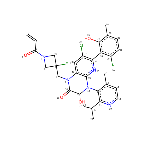 C=CC(=O)N1CC(F)(CN2C(=O)C(O)N(c3c(C)ccnc3C(C)C)c3nc(-c4c(F)ccc(C)c4O)c(Cl)cc32)C1